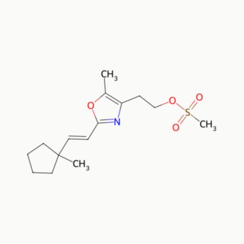 Cc1oc(/C=C/C2(C)CCCC2)nc1CCOS(C)(=O)=O